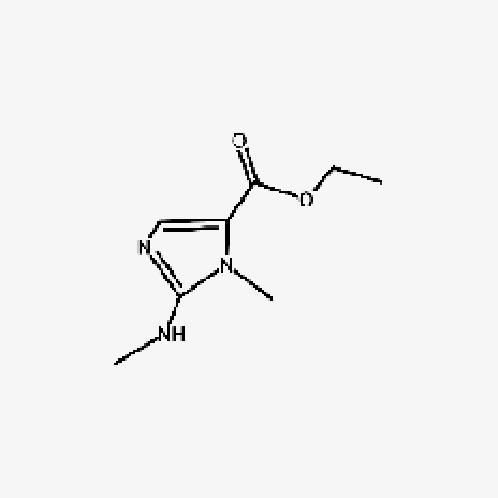 CCOC(=O)c1cnc(NC)n1C